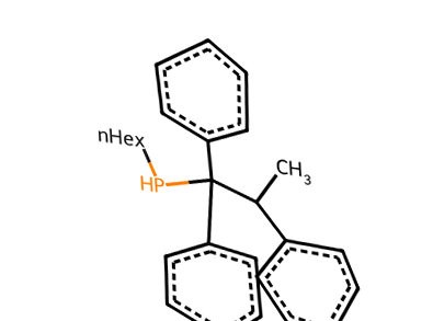 CCCCCCPC(c1ccccc1)(c1ccccc1)C(C)c1ccccc1